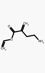 C=COC(=O)C(=C)CCN